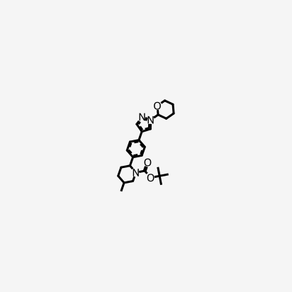 CC1CCC(c2ccc(-c3cnn(C4CCCCO4)c3)cc2)N(C(=O)OC(C)(C)C)C1